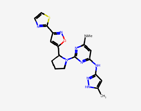 CNc1cc(Nc2cc(C)[nH]n2)nc(N2CCCC2c2cc(-c3nccs3)no2)n1